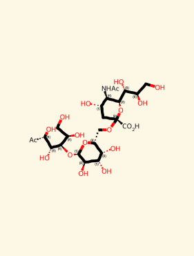 CC(=O)N[C@H]1[C@H]([C@H](O)[C@H](O)CO)O[C@@](OC[C@H]2O[C@@H](O[C@@H]([C@H](O)[C@@H](O)C(C)=O)[C@H](O)CO)[C@H](O)[C@@H](O)[C@H]2O)(C(=O)O)C[C@@H]1O